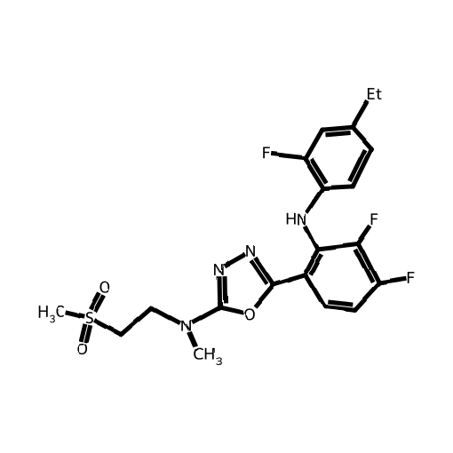 CCc1ccc(Nc2c(-c3nnc(N(C)CCS(C)(=O)=O)o3)ccc(F)c2F)c(F)c1